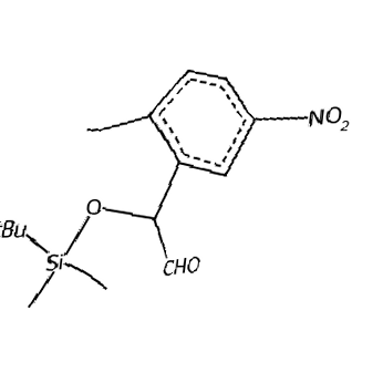 Cc1ccc([N+](=O)[O-])cc1C(C=O)O[Si](C)(C)C(C)(C)C